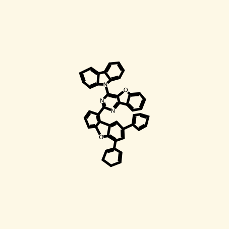 C1=CC(c2cc(-c3ccccc3)cc3c2oc2cccc(-c4nc(-n5c6ccccc6c6ccccc65)c5oc6ccccc6c5n4)c23)=CCC1